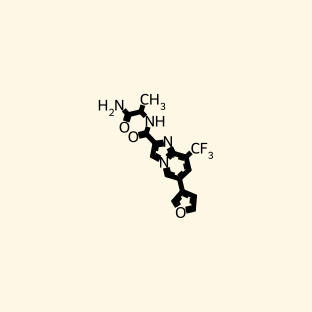 CC(NC(=O)c1cn2cc(-c3ccoc3)cc(C(F)(F)F)c2n1)C(N)=O